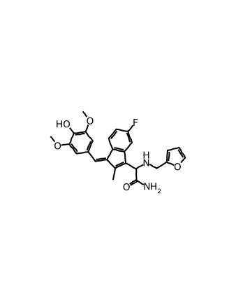 COc1cc(/C=C2/C(C)=C(C(NCc3ccco3)C(N)=O)c3cc(F)ccc32)cc(OC)c1O